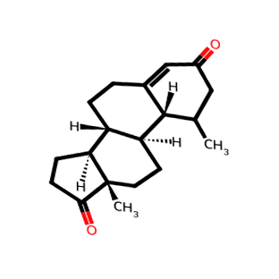 CC1CC(=O)C=C2CC[C@@H]3[C@H](CC[C@]4(C)C(=O)CC[C@@H]34)[C@H]21